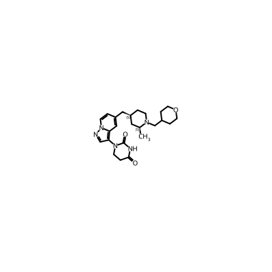 C[C@H]1C[C@@H](Cc2ccn3ncc(N4CCC(=O)NC4=O)c3c2)CCN1CC1CCOCC1